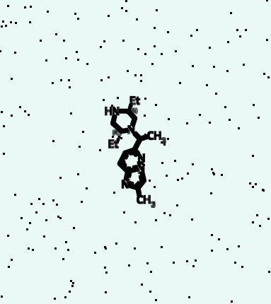 CC[C@H]1CN(C(C)c2ccc3nc(C)cn3n2)[C@H](CC)CN1